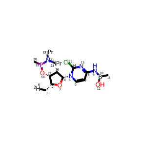 [2H]C[C@H]1O[C@@H](N2C=CC(NB(C)O)=NC2Cl)C[C@H]1OP(C)N(C(C)C)C(C)C